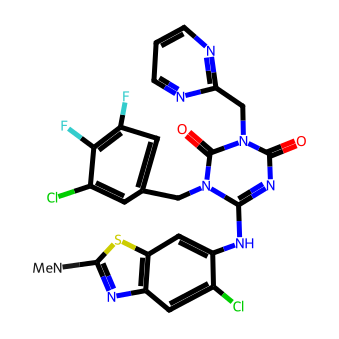 CNc1nc2cc(Cl)c(Nc3nc(=O)n(Cc4ncccn4)c(=O)n3Cc3cc(F)c(F)c(Cl)c3)cc2s1